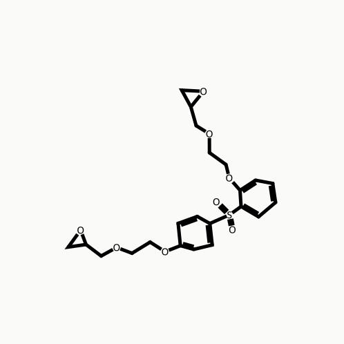 O=S(=O)(c1ccc(OCCOCC2CO2)cc1)c1ccccc1OCCOCC1CO1